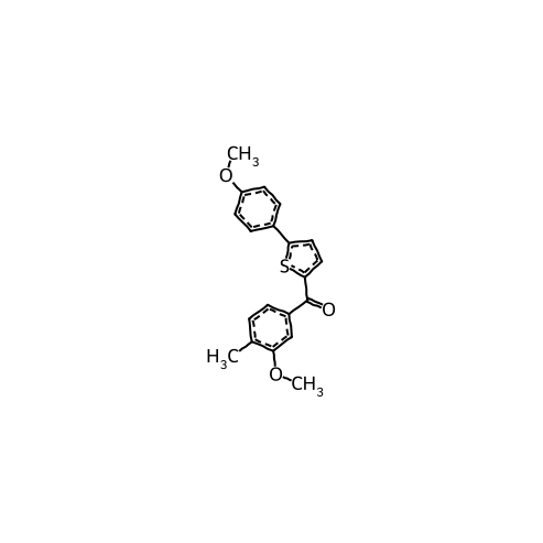 COc1ccc(-c2ccc(C(=O)c3ccc(C)c(OC)c3)s2)cc1